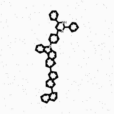 C1=C(c2ccccc2)NC(c2ccccc2)N=C1c1ccc(-n2c3ccccc3c3c4ccc(-c5ccc6cc(-c7cccc8ccccc78)ccc6c5)cc4ccc32)cc1